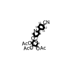 CC(=O)O[C@@H]1[C@@H](OC(C)=O)[C@@H](Oc2ccc(-c3ccc(C#N)cc3)nc2)SC[C@H]1OC(C)=O